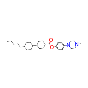 CCCCCC1CCC(C2CCC(C(=O)Oc3ccc(N4CCN(C)CC4)cc3)CC2)CC1